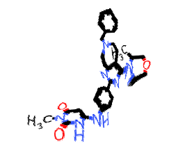 CC1COCCN1c1nc(-c2ccc(Nc3cc(=O)n(C)c(=O)[nH]3)cc2)nc2c1CCN(Cc1ccccc1)C2